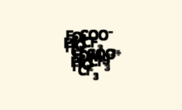 O=C([O-])C1(C(F)(F)F)OC(F)(F)C(F)(C(F)(F)F)O1.O=C([O-])C1(C(F)(F)F)OC(F)(F)C(F)(C(F)(F)F)O1.[Mg+2]